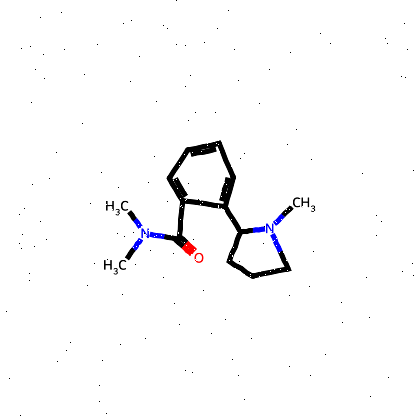 CN(C)C(=O)c1ccccc1C1CCCN1C